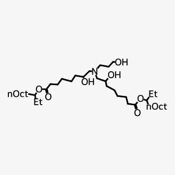 CCCCCCCCC(CC)OC(=O)CCCCCC(O)CN(CCCO)CC(O)CCCCCC(=O)OC(CC)CCCCCCCC